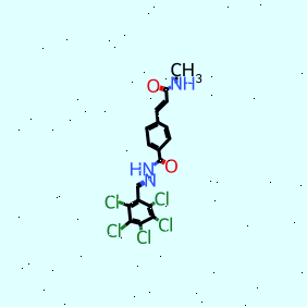 CNC(=O)/C=C/c1ccc(C(=O)N/N=C/c2c(Cl)c(Cl)c(Cl)c(Cl)c2Cl)cc1